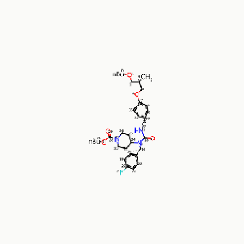 CCCCOCC(C)COc1ccc(CNC(=O)N(Cc2ccc(F)cc2)C2CCN(C(=O)OCCCC)CC2)cc1